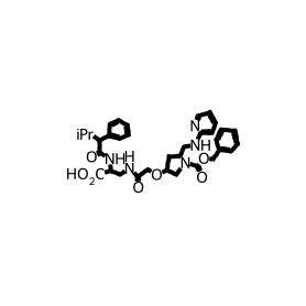 CC(C)C(C(=O)NC(CNC(=O)COC1CC(CNc2ccccn2)N(C(=O)OCc2ccccc2)C1)C(=O)O)c1ccccc1